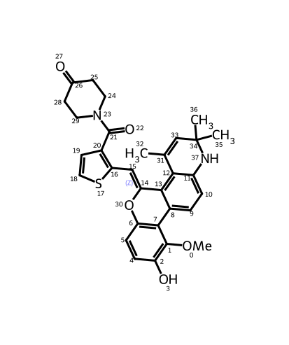 COc1c(O)ccc2c1-c1ccc3c(c1/C(=C/c1sccc1C(=O)N1CCC(=O)CC1)O2)C(C)=CC(C)(C)N3